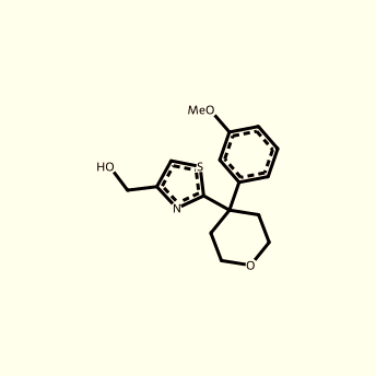 COc1cccc(C2(c3nc(CO)cs3)CCOCC2)c1